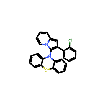 Clc1ccccc1-c1cc2ccccn2c1N1c2ccccc2Sc2ccccc21